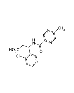 Cc1cnc(C(=O)NC(CC(=O)O)c2ccccc2Cl)cn1